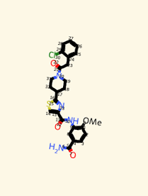 COc1ccc(C(N)=O)cc1NC(=O)c1csc(C2CCN(C(=O)Cc3ccccc3Cl)CC2)n1